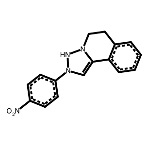 O=[N+]([O-])c1ccc(N2C=C3c4ccccc4CCN3N2)cc1